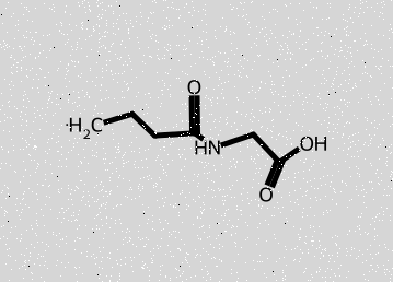 [CH2]CCC(=O)NCC(=O)O